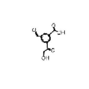 O=Cc1cc(C(=O)O)cc(C(=O)CO)c1